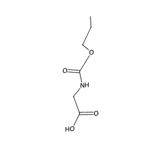 CCCOC(=O)NCC(=O)O